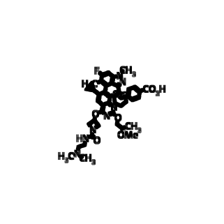 CO[C@@H](C)COc1nc(OC2CN(C(=O)NCCN(C)C)C2)c2cc(C3CC3)c(-c3c(C)c(F)cc4c3c(C3CCCCO3)nn4C)c(OCc3ccc(C(=O)O)cc3)c2n1